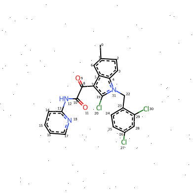 Cc1ccc2c(c1)c(C(=O)C(=O)Nc1ccccn1)c(Cl)n2Cc1ccc(Cl)cc1Cl